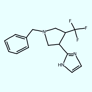 FC(F)(F)C1CN(Cc2ccccc2)CC1c1ncc[nH]1